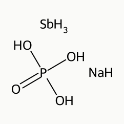 O=P(O)(O)O.[NaH].[SbH3]